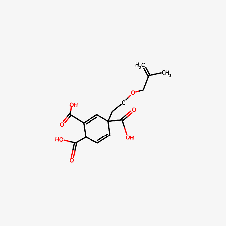 C=C(C)COCCC1(C(=O)O)C=CC(C(=O)O)C(C(=O)O)=C1